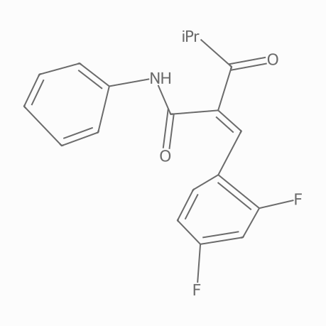 CC(C)C(=O)/C(=C/c1ccc(F)cc1F)C(=O)Nc1ccccc1